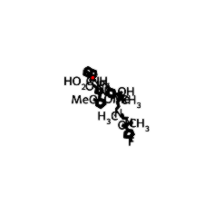 COc1cccc(OC)c1-c1cc(C(=O)NC2(C(=O)O)C3CC4CC(C3)CC2C4)nn1-c1ccc(C(O)N(C)CCCN(C)CCCN(C)C(=O)c2ccc(F)cc2)cc1C(C)C